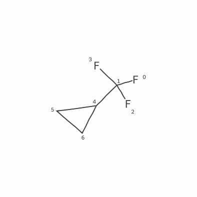 FC(F)(F)C1CC1